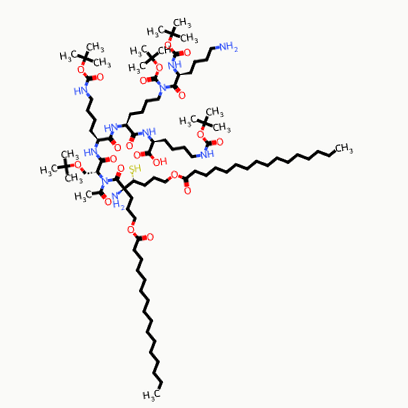 CCCCCCCCCCCCCCCC(=O)OCCC[C@@H](S)[C@](N)(CCCOC(=O)CCCCCCCCCCCCCCC)C(=O)N(C(C)=O)[C@H](COC(C)(C)C)C(=O)N[C@@H](CCCCNC(=O)OC(C)(C)C)C(=O)N[C@@H](CCCCN(C(=O)OC(C)(C)C)C(=O)[C@H](CCCCN)NC(=O)OC(C)(C)C)C(=O)N[C@@H](CCCCNC(=O)OC(C)(C)C)C(=O)O